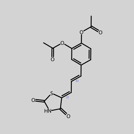 CC(=O)Oc1ccc(/C=C/C=C2\SC(=O)NC2=O)cc1OC(C)=O